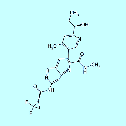 CC[C@@H](O)c1cc(C)c(-c2cc3cnc(NC(=O)[C@H]4CC4(F)F)cc3nc2C(=O)NC)cn1